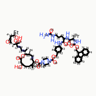 CC[C@H](O)[C@@H](C)[C@@H]1O[C@H]1CC(C)(O)/C=C/C=C(\C)[C@H]1OC(=O)C[C@H](O)CC[C@@](C)(OC)[C@@H](OC(=O)N2CCN(C(=O)OCc3ccc(NC(=O)C(CCCNC(N)=O)NC(=O)C(NC(=O)OCC4c5ccccc5-c5ccccc54)C(C)C)cc3)CC2)/C=C/[C@@H]1C